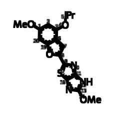 COc1cc(OC(C)C)c2cc(-c3nc4[nH]c(OC)nc4s3)oc2c1